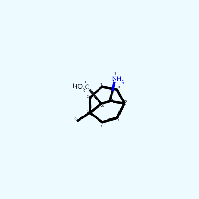 CC12CCCC(CC1)C(N)C2C(=O)O